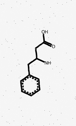 [NH]C(CC(=O)O)Cc1ccccc1